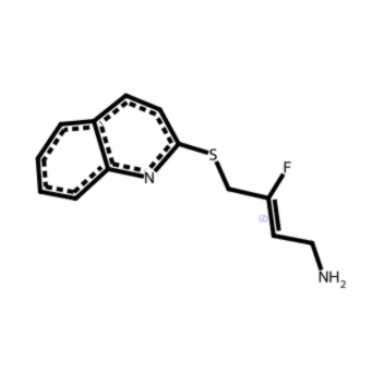 NC/C=C(\F)CSc1ccc2ccccc2n1